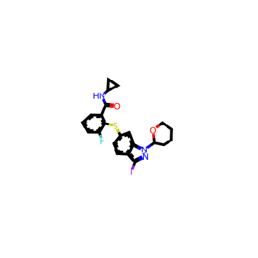 O=C(NC1CC1)c1cccc(F)c1Sc1ccc2c(I)nn(C3CCCCO3)c2c1